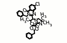 CC(C)C(c1nc2cc(Cl)ccc2c(=O)n1Cc1ccccc1)N1CC(C)(C)N=C1C1=COC(Cc2ccccc2)O1